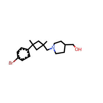 CC1(CN2CCC(CO)CC2)CC(C)(c2ccc(Br)cc2)C1